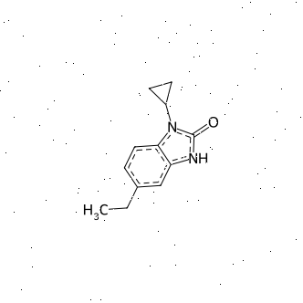 CCc1ccc2c(c1)[nH]c(=O)n2C1CC1